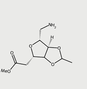 COC(=O)C[C@@H]1O[C@H](CN)[C@H]2OC(C)OC12